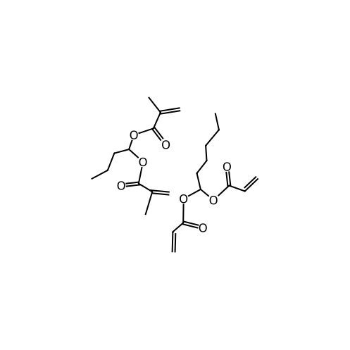 C=C(C)C(=O)OC(CCC)OC(=O)C(=C)C.C=CC(=O)OC(CCCCC)OC(=O)C=C